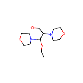 CCOC(C(C[O])N1CCOCC1)N1CCOCC1